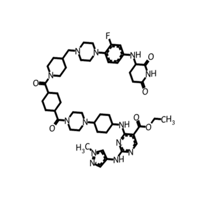 CCOC(=O)c1cnc(Nc2cnn(C)c2)nc1NC1CCC(N2CCN(C(=O)C3CCC(C(=O)N4CCC(CN5CCN(c6ccc(NC7CCC(=O)NC7=O)cc6F)CC5)CC4)CC3)CC2)CC1